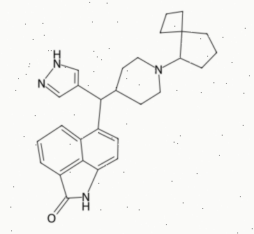 O=C1Nc2ccc(C(c3cn[nH]c3)C3CCN(C4CCCC45CCC5)CC3)c3cccc1c23